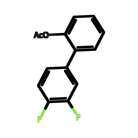 CC(=O)Oc1ccccc1-c1ccc(F)c(F)c1